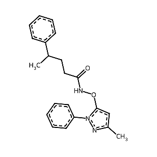 Cc1cc(ONC(=O)CCC(C)c2ccccc2)n(-c2ccccc2)n1